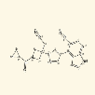 N#CCC1(n2cc(-c3c(C#N)cnc4[nH]ccc34)cn2)CN(C(=O)C2CC2)C1